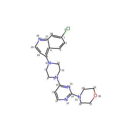 Clc1ccc2c(N3CCN(c4ccnc(N5CCOCC5)n4)CC3)ccnc2c1